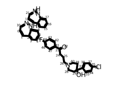 C1=Cc2ccccc2NN=C1.C1=Cc2ccccc2NN=C1.O=C(CCCN1CCC(O)(c2ccc(Cl)cc2)CC1)c1ccc(F)cc1